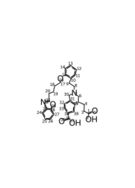 O=C(O)CCCCN(CCc1ccccc1OCCCCc1nc2ccccc2o1)Cc1ccc(C(=O)O)cc1